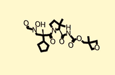 CC1(COC(=O)NC(=O)[C@H]2N(C(=O)[C@@](C)(CN(O)C=O)C3CCCC3)CCC2(C)C)COC1